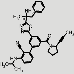 CC#CC1CCCN1C(=O)c1cc(-c2nnc([C@](C)(N)Cc3ccccc3)o2)cc(-c2cccc(NC(C)C)c2C#N)c1